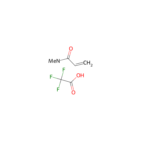 C=CC(=O)NC.O=C(O)C(F)(F)F